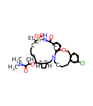 CC[C@@H]1CC/C=C/[C@H](O[C@H](C)C(=O)N(C)C)[C@@H]2CC[C@H]2CN2CCCCc3cc(Cl)ccc3COc3ccc(cc32)C(=O)NS1(=O)=O